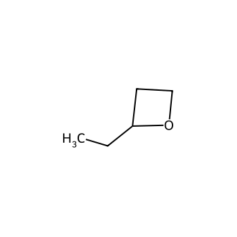 CCC1CCO1